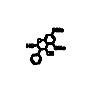 COc1cc(OC)c2c(c1)OC(O)C(c1ccccc1)C2O